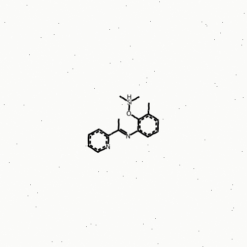 CC(=Nc1cccc(C)c1O[SiH](C)C)c1ccccn1